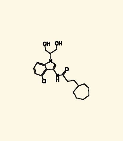 O=C(CCC1CCCCCC1)Nc1cn(C(CO)CO)c2cccc(Cl)c12